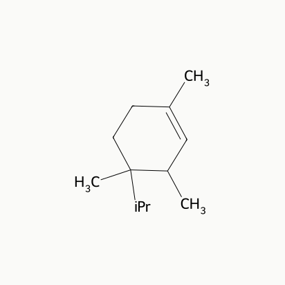 CC1=CC(C)C(C)(C(C)C)CC1